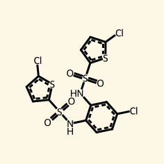 O=S(=O)(Nc1ccc(Cl)cc1NS(=O)(=O)c1ccc(Cl)s1)c1ccc(Cl)s1